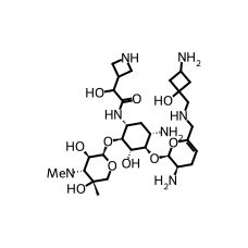 CN[C@@H]1[C@@H](O)[C@@H](O[C@@H]2[C@@H](O)[C@H](O[C@H]3OC(CNCC4(O)CC(N)C4)=CC[C@H]3N)[C@@H](N)C[C@H]2NC(=O)C(O)C2CNC2)OC[C@]1(C)O